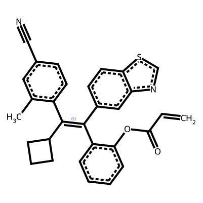 C=CC(=O)Oc1ccccc1/C(=C(/c1ccc(C#N)cc1C)C1CCC1)c1ccc2scnc2c1